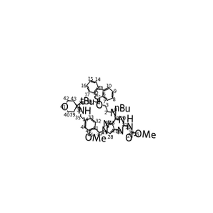 CCCCN(CCO[Si](c1ccccc1)(c1ccccc1)C(C)(C)C)c1nc(NC(=O)OC)nc2cn(Cc3ccc(CNC4(C)CCOCC4)cc3OC)nc12